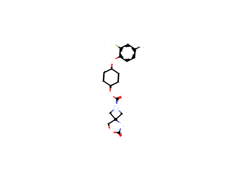 O=C1NC2(CO1)CN(C(=O)OC1CCC(Oc3ccc(C(F)(F)F)cc3F)CC1)C2